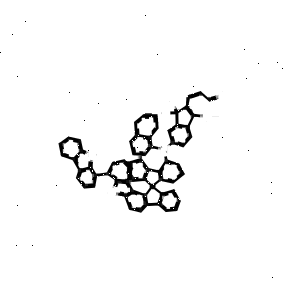 C=C/C=C\C1=C(C)c2ccc(N(c3cccc4c3-c3ccccc3C43c4ccccc4-c4ccc5oc6c(-c7cccc8c7oc7ccccc78)cccc6c5c43)c3cccc4ccccc34)cc2C1(C)C